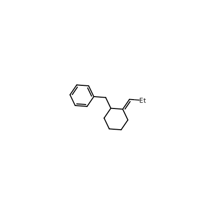 CCC=C1CCCCC1Cc1ccccc1